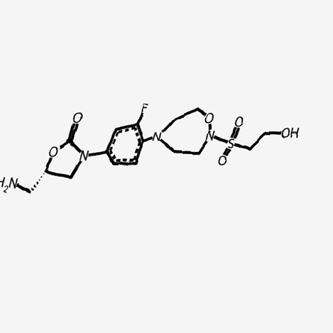 NC[C@H]1CN(c2ccc(N3CCON(S(=O)(=O)CCO)CC3)c(F)c2)C(=O)O1